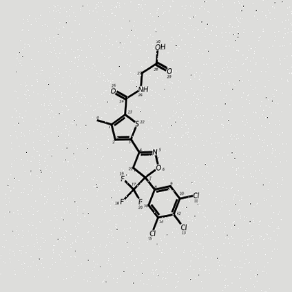 Cc1cc(C2=NOC(c3cc(Cl)c(Cl)c(Cl)c3)(C(F)(F)F)C2)sc1C(=O)NCC(=O)O